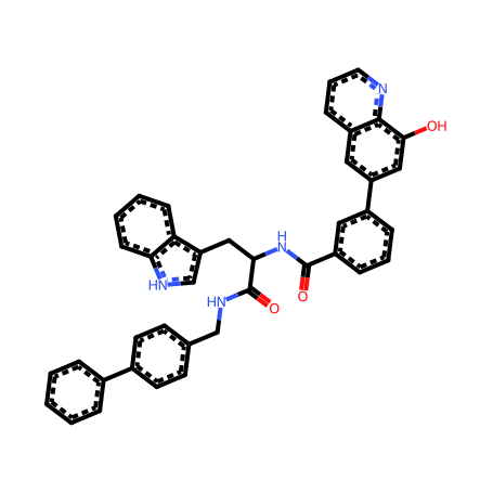 O=C(NC(Cc1c[nH]c2ccccc12)C(=O)NCc1ccc(-c2ccccc2)cc1)c1cccc(-c2cc(O)c3ncccc3c2)c1